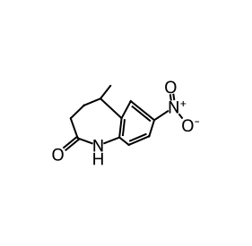 CC1CCC(=O)Nc2ccc([N+](=O)[O-])cc21